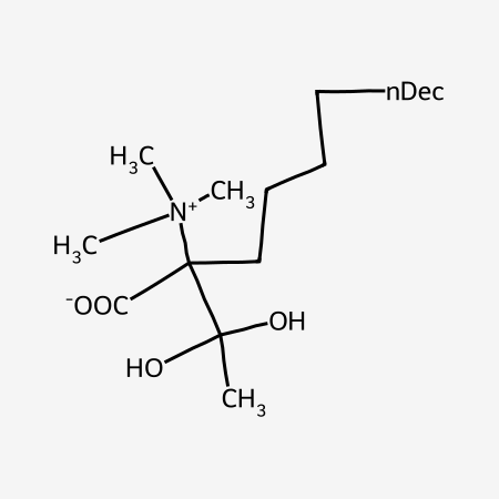 CCCCCCCCCCCCCCC(C(=O)[O-])(C(C)(O)O)[N+](C)(C)C